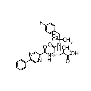 CC(C[C@H](NC(=O)c1cnc(-c2ccccc2)cn1)C(=O)NC(C)(C)Cc1ccc(F)cc1)C(=O)O